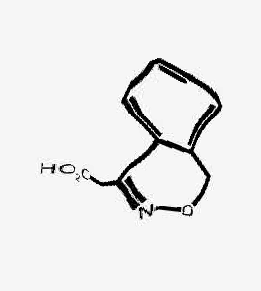 O=C(O)C1=NOCc2ccccc21